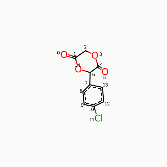 O=C1COC(=O)C(c2ccc(Cl)cc2)O1